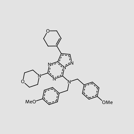 COc1ccc(CN(Cc2ccc(OC)cc2)c2nc(N3CCOCC3)nc3c(C4=CCOCC4)cnn23)cc1